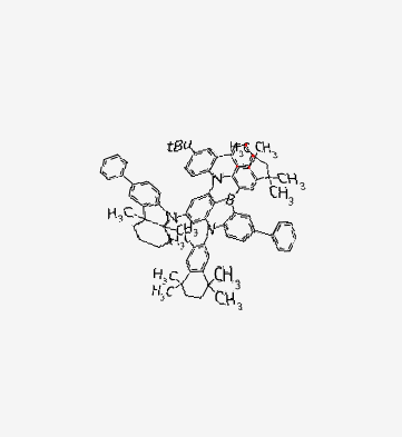 Cc1cc2c(cc1N1c3ccc(-c4ccccc4)cc3B3c4cc5c(cc4N(c4ccc(C(C)(C)C)cc4-c4ccccc4)c4cc(N6c7ccc(-c8ccccc8)cc7C7(C)CCCCC67C)cc1c43)C(C)(C)CC5(C)C)C(C)(C)CCC2(C)C